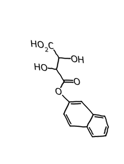 O=C(O)C(O)C(O)C(=O)Oc1ccc2ccccc2c1